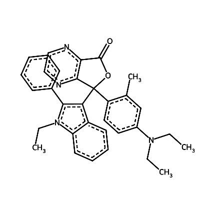 CCN(CC)c1ccc(C2(c3c(-c4ccccc4)n(CC)c4ccccc34)OC(=O)c3nccnc32)c(C)c1